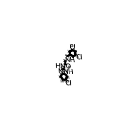 O=C(CNCc1cc(Cl)cc(Cl)c1)Nc1nc2ccc(Cl)cc2[nH]1